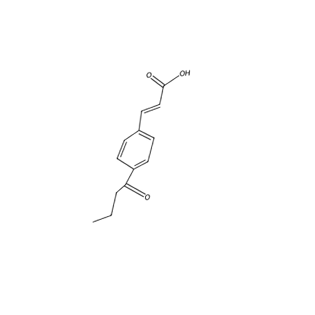 CCCC(=O)c1ccc(C=CC(=O)O)cc1